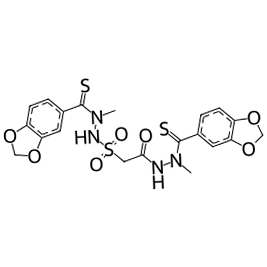 CN(NC(=O)CS(=O)(=O)NN(C)C(=S)c1ccc2c(c1)OCO2)C(=S)c1ccc2c(c1)OCO2